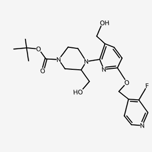 CC(C)(C)OC(=O)N1CCN(c2nc(OCc3ccncc3F)ccc2CO)C(CO)C1